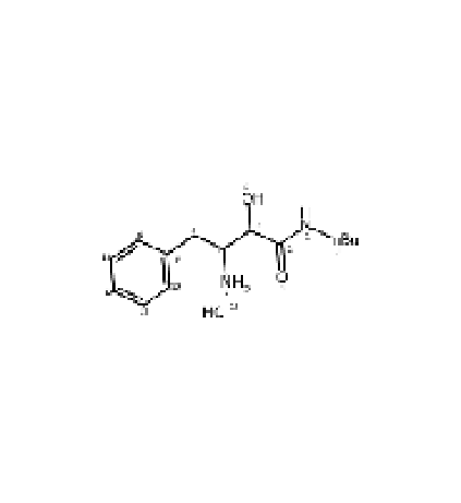 CCCCNC(=O)C(O)C(N)Cc1ccccc1.Cl